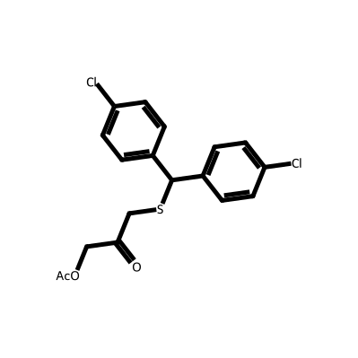 CC(=O)OCC(=O)CSC(c1ccc(Cl)cc1)c1ccc(Cl)cc1